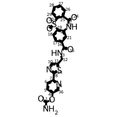 NC(=O)Oc1ccc(-c2ncc(CNC(=O)c3ccc4c(c3)NC(=O)c3ccccc3S4(=O)=O)s2)nc1